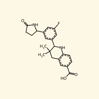 CC1(C)Cc2cc(C(=O)O)ccc2NC1c1cc(F)cc(C2CCC(=O)N2)c1